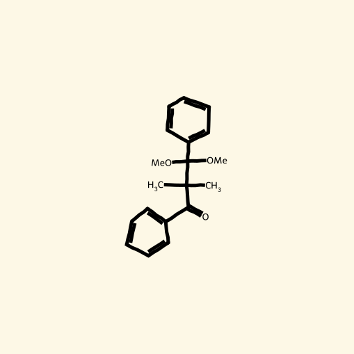 COC(OC)(c1ccccc1)C(C)(C)C(=O)c1ccccc1